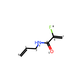 C=CCNC(=O)C(=C)F